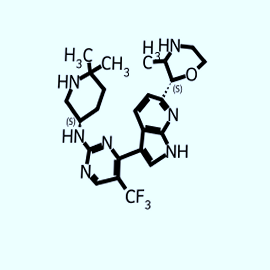 CC1NCCO[C@@H]1c1ccc2c(-c3nc(N[C@H]4CCC(C)(C)NC4)ncc3C(F)(F)F)c[nH]c2n1